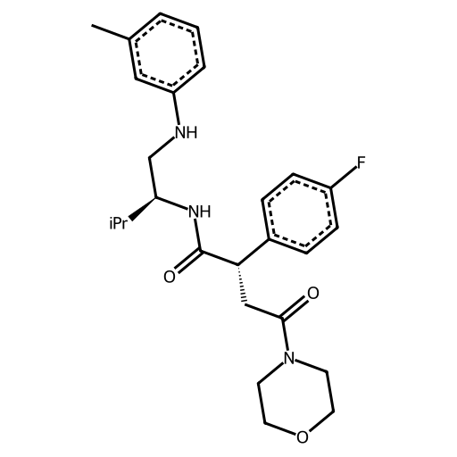 Cc1cccc(NC[C@@H](NC(=O)[C@@H](CC(=O)N2CCOCC2)c2ccc(F)cc2)C(C)C)c1